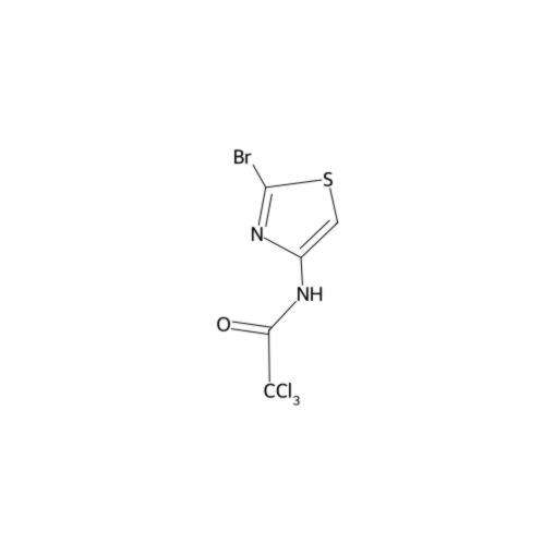 O=C(Nc1csc(Br)n1)C(Cl)(Cl)Cl